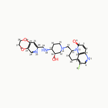 O=c1ccc2ncc(F)c3c2n1[C@H](CN1CC[C@H](NCc2cc4c(cn2)OCCO4)[C@H](O)C1)CC3